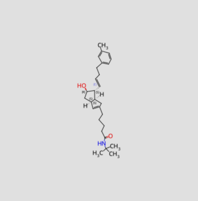 Cc1cccc(CC/C=C/[C@@H]2[C@H]3CC(CCCCC(=O)NC(C)(C)C)=C[C@H]3C[C@H]2O)c1